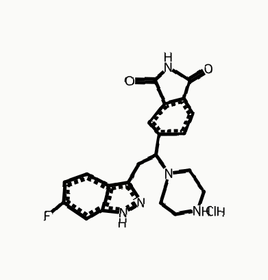 Cl.O=C1NC(=O)c2cc(C(Cc3n[nH]c4cc(F)ccc34)N3CCNCC3)ccc21